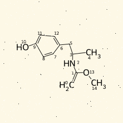 C=C(NC(C)Cc1ccc(O)cc1)OC